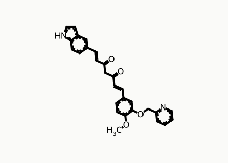 COc1ccc(C=CC(=O)CC(=O)C=Cc2ccc3[nH]ccc3c2)cc1OCc1ccccn1